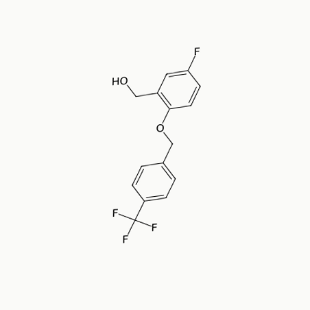 OCc1cc(F)ccc1OCc1ccc(C(F)(F)F)cc1